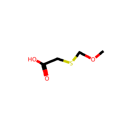 COCSCC(=O)O